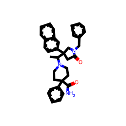 CC(N1CCC(C(N)=O)(c2ccccc2)CC1)C1(c2ccc3ccccc3c2)CC(=O)N(Cc2ccccc2)C1